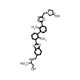 Cc1c(-c2nnc(CN3CC[C@@H](O)C3)o2)cccc1-c1cccc(-c2nc3cc(CNC(CO)C(=O)O)ccc3o2)c1C